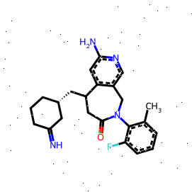 Cc1cccc(F)c1N1Cc2cnc(N)cc2C(C[C@H]2CCCC(=N)C2)CC1=O